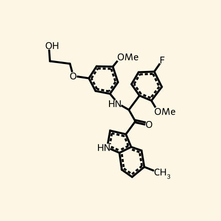 COc1cc(NC(C(=O)c2c[nH]c3ccc(C)cc23)c2ccc(F)cc2OC)cc(OCCO)c1